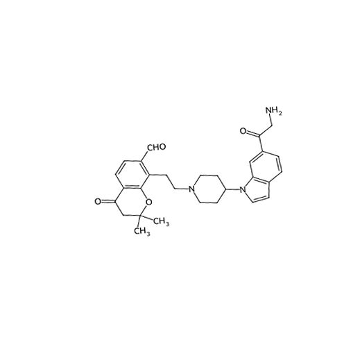 CC1(C)CC(=O)c2ccc(C=O)c(CCN3CCC(n4ccc5ccc(C(=O)CN)cc54)CC3)c2O1